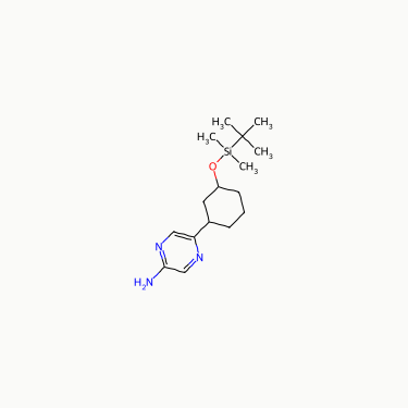 CC(C)(C)[Si](C)(C)OC1CCCC(c2cnc(N)cn2)C1